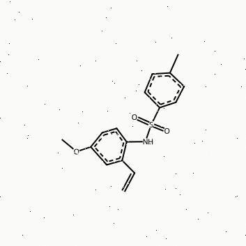 C=Cc1cc(OC)ccc1NS(=O)(=O)c1ccc(C)cc1